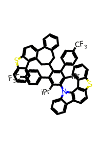 CC(C)c1c(-c2ccc(C(F)(F)F)cc2)c(C2Cc3ccccc3-c3ccc4sc5ccccc5c4c3C2)c(-c2ccc(C(F)(F)F)cc2)c(C(C)C)c1-n1c2ccccc2c2ccc3sc4ccccc4c3c21